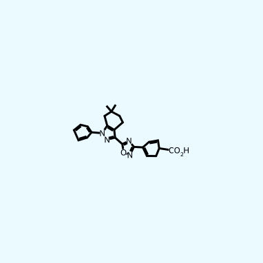 CC1(C)CCc2c(-c3nc(C4=CCC(C(=O)O)C=C4)no3)nn(-c3ccccc3)c2C1